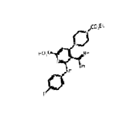 CCOC(=O)N1CCN(c2cc(C(=O)O)nc(Nc3ccc(F)cc3)c2C(=N)C(C)C)CC1